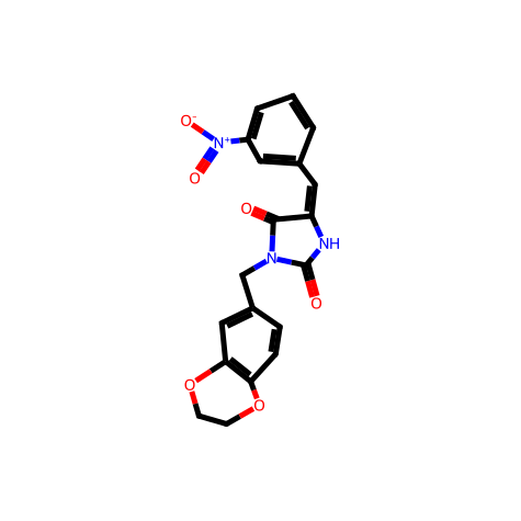 O=C1N/C(=C/c2cccc([N+](=O)[O-])c2)C(=O)N1Cc1ccc2c(c1)OCCO2